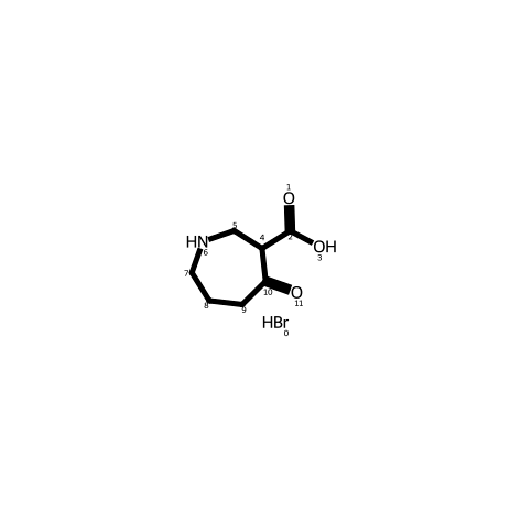 Br.O=C(O)C1CNCCCC1=O